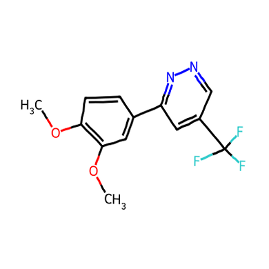 COc1ccc(-c2cc(C(F)(F)F)cnn2)cc1OC